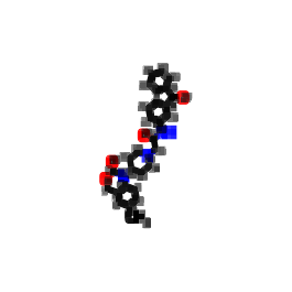 Cc1ccc2c(c1)COC(=O)N2C1CCN(CC(=O)Nc2ccc3c(c2)C(=O)c2ccccc2-3)CC1